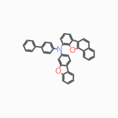 c1ccc(-c2ccc(N(c3ccc4c(c3)oc3ccccc34)c3cccc4c3oc3c5ccccc5ccc43)cc2)cc1